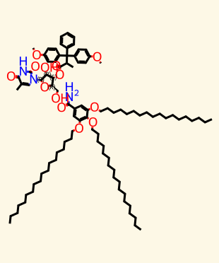 CCCCCCCCCCCCCCCCCCOc1cc(C(N)=O)cc(OCCCCCCCCCCCCCCCCCC)c1OCCCCCCCCCCCCCCCCCC.COc1ccc(C(c2ccccc2)(c2ccc(OC)cc2)C(C)C(=O)O[C@H]2[C@@H](O)[C@H](n3cc(C)c(=O)[nH]c3=O)O[C@@H]2CO)cc1